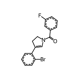 O=C(c1cccc(F)c1)N1C=C(c2ccccc2Br)CC1